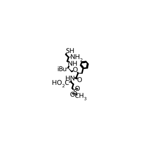 CC[C@H](C)[C@H](CO[C@@H](Cc1ccccc1)C(=O)N[C@@H](CCS(C)(=O)=O)C(=O)O)NC[C@@H](N)CS